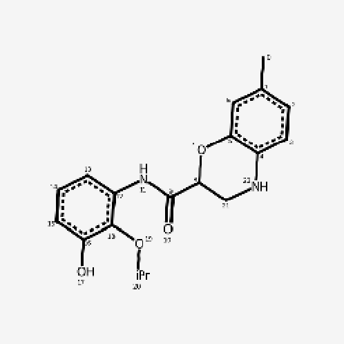 Cc1ccc2c(c1)OC(C(=O)Nc1cccc(O)c1OC(C)C)CN2